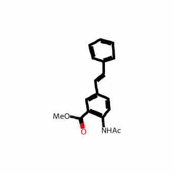 COC(=O)c1cc(C=Cc2ccccc2)ccc1NC(C)=O